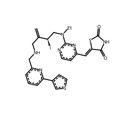 C=C(CNCc1cccc(-c2ccsc2)n1)[C@H](I)CN(CC)c1nccc(/C=C2\SC(=O)NC2=O)n1